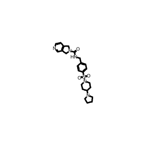 O=C(NCc1ccc(S(=O)(=O)N2CCC(N3CCCC3)CC2)cc1)N1Cc2ccncc2C1